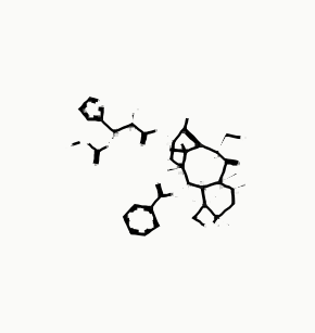 CC(=O)C[C@H]1C(=O)[C@@]2(C)[C@H]([C@H](OC(=O)c3ccccc3)[C@]3(O)C[C@H](OC(=O)[C@H](O)[C@@H](NC(=O)SC(C)(C)C)c4ccco4)C(C)=C1C3(C)C)[C@]1(OC(C)=O)CO[C@@H]1C[C@@H]2O